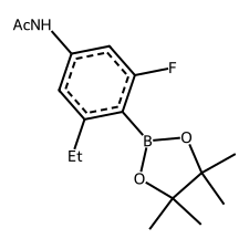 CCc1cc(NC(C)=O)cc(F)c1B1OC(C)(C)C(C)(C)O1